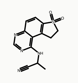 CC(C#N)Nc1ncnc2ccc3c(c12)CCS3(=O)=O